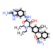 CCN(CC)C(c1ccc(-c2ccccc2C(N)=O)c(C)c1)C(O)C(=O)Nc1ccc2nc(N)[nH]c2c1